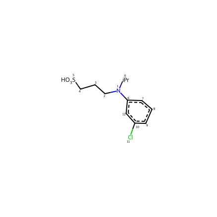 CC(C)N(CCCS(=O)(=O)O)c1cccc(Cl)c1